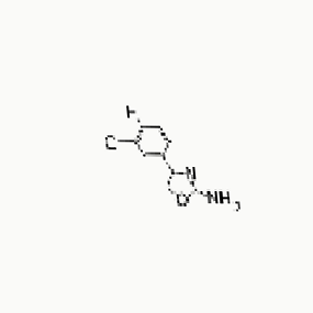 NC1=NC(c2ccc(F)c(Cl)c2)CO1